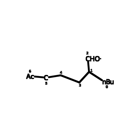 CCCCC([C]=O)CCCC(C)=O